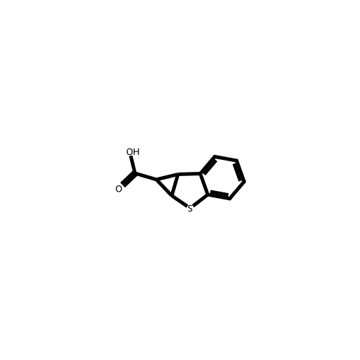 O=C(O)C1C2Sc3ccccc3C21